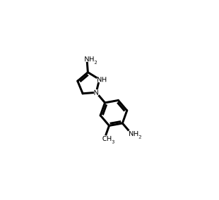 Cc1cc(N2CC=C(N)N2)ccc1N